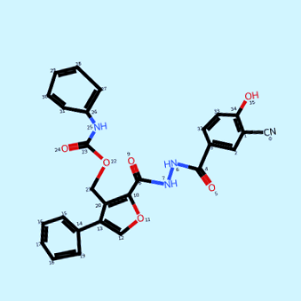 N#Cc1cc(C(=O)NNC(=O)c2occ(-c3ccccc3)c2COC(=O)Nc2ccccc2)ccc1O